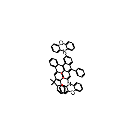 CC1(C)C2=C(CCC(c3ccccc3-c3c4ccc(N5c6ccccc6Oc6ccccc65)cc4c(-c4ccccc4)c4ccc(N5c6ccccc6Oc6ccccc65)cc34)=C2)C2C=CC=CC21